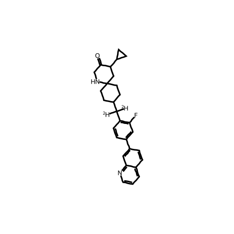 [2H]C([2H])(c1ccc(-c2ccc3cccnc3c2)cc1F)C1CCC2(CC1)CC(C1CC1)C(=O)CN2